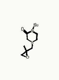 CC1(CN2CCN(C(C)(C)C)C(=O)C2)CO1